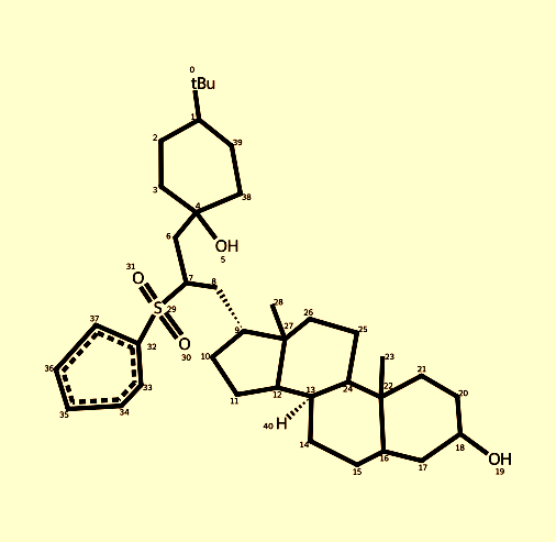 CC(C)(C)C1CCC(O)(CC(C[C@H]2CCC3[C@@H]4CCC5CC(O)CCC5(C)C4CCC32C)S(=O)(=O)c2ccccc2)CC1